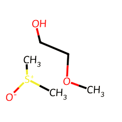 COCCO.C[S+](C)[O-]